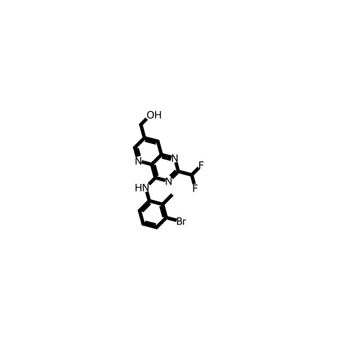 Cc1c(Br)cccc1Nc1nc(C(F)F)nc2cc(CO)cnc12